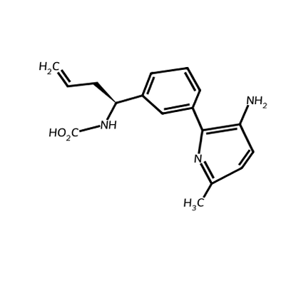 C=CC[C@H](NC(=O)O)c1cccc(-c2nc(C)ccc2N)c1